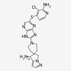 Nc1nccc(Sc2cnc3[nH]c(N4CCC5(CC4)Cn4nccc4[C@H]5N)nc3n2)c1Cl